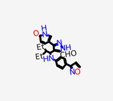 CCC(CC)C(Nc1ccc(-c2ccon2)cc1)c1c(-c2ccc(=O)[nH]c2)n[nH]c1C=O